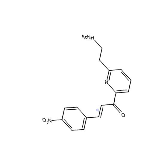 CC(=O)NCCc1cccc(C(=O)/C=C/c2ccc([N+](=O)[O-])cc2)n1